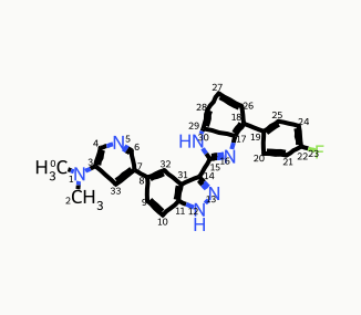 CN(C)c1cncc(-c2ccc3[nH]nc(-c4nc5c(-c6ccc(F)cc6)cccc5[nH]4)c3c2)c1